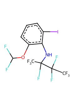 FC(F)Oc1cccc(I)c1NC(F)(C(F)(F)F)C(F)(F)C(F)(F)F